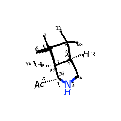 CC(=O)[C@H]1NC[C@H]2[C@@H]1C(C)(C)C2(C)C